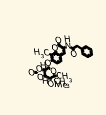 CO[C@@H]1[C@H]2OC(=O)O[C@H]2[C@H](Oc2ccc3cc(NC(=O)Cc4ccccc4)c(=O)oc3c2C)OC1(C)C